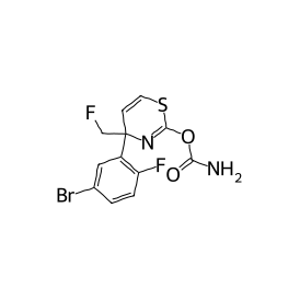 NC(=O)OC1=NC(CF)(c2cc(Br)ccc2F)C=CS1